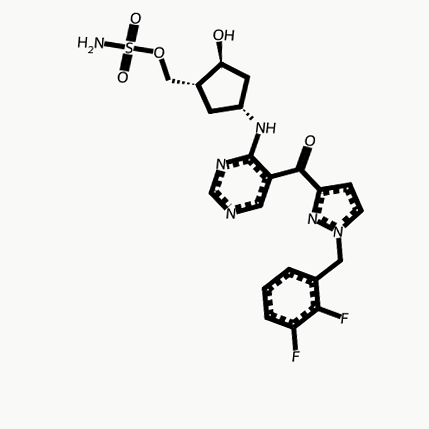 NS(=O)(=O)OC[C@H]1C[C@@H](Nc2ncncc2C(=O)c2ccn(Cc3cccc(F)c3F)n2)C[C@@H]1O